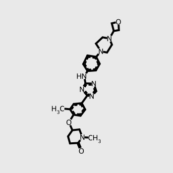 Cc1cc(-c2ncnc(Nc3ccc(N4CCN(C5COC5)CC4)cc3)n2)ccc1OC1CCC(=O)N(C)C1